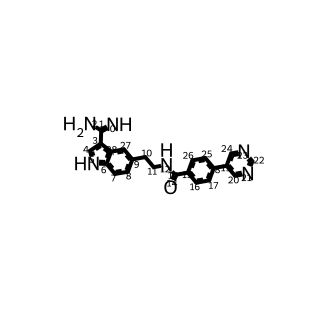 N=C(N)c1c[nH]c2ccc(CCNC(=O)c3ccc(-c4cncnc4)cc3)cc12